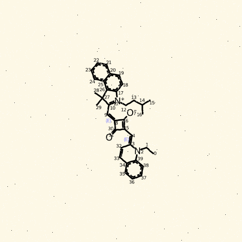 CCN1/C(=C/C2=C([O-])C(=C\C3=[N+](CCC(C)C)c4ccc5ccccc5c4C3(C)C)/C2=O)C=Cc2ccccc21